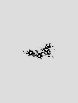 N#Cc1ccc(C(=O)Nc2cccc(C(=O)Nc3c(Br)cc(C(F)(C(F)(F)F)C(F)(F)F)cc3C(F)(F)C(F)(F)F)c2F)cc1